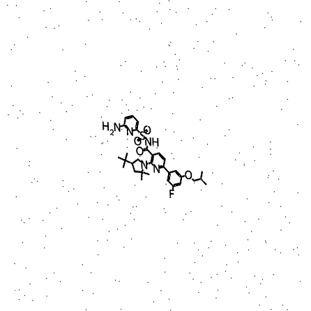 CC(C)COc1cc(F)cc(-c2ccc(C(=O)NS(=O)(=O)c3cccc(N)n3)c(N3CC(C(C)(C)C)CC3(C)C)n2)c1